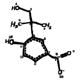 CC(C)(CO)c1cc([N+](=O)[O-])ccc1O